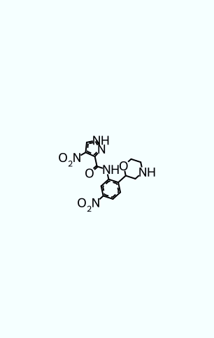 O=C(Nc1cc([N+](=O)[O-])ccc1C1CNCCO1)c1n[nH]cc1[N+](=O)[O-]